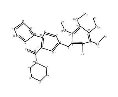 COc1c(C)c(Cc2ccc(-c3cccnc3)c(C(=O)N3CCCCC3)c2)c(OC)c(OC)c1OC